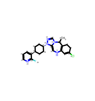 CC1C2=C(C=C(Cl)CC2)NC=C2N1C=NN2[C@H]1CC[C@H](c2cccnc2F)CC1